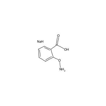 NOc1ccccc1C(=O)O.[NaH]